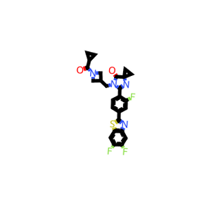 O=C(C1CC1)N1CC(CN2C(=O)C3(CC3)N=C2c2ccc(-c3nc4cc(F)c(F)cc4s3)cc2F)C1